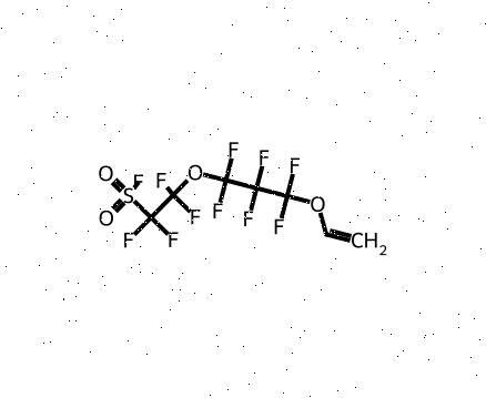 C=COC(F)(F)C(F)(F)C(F)(F)OC(F)(F)C(F)(F)S(=O)(=O)F